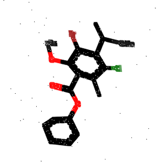 CCCCOc1c(Br)c(C(C)OC)c(Cl)c(C)c1C(=O)Oc1ccccc1